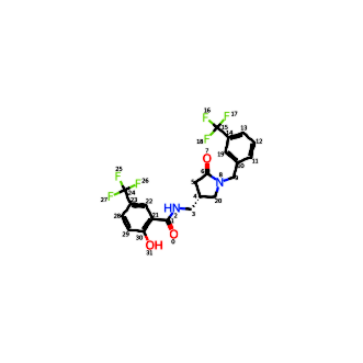 O=C(NC[C@@H]1CC(=O)N(Cc2cccc(C(F)(F)F)c2)C1)c1cc(C(F)(F)F)ccc1O